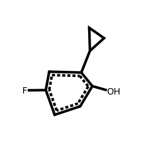 Oc1ccc(F)cc1C1CC1